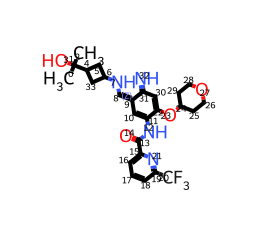 CC(C)(O)C1CC(N/C=C2/C=C(NC(=O)c3cccc(C(F)(F)F)n3)C(OC3CCOCC3)=CC2=N)C1